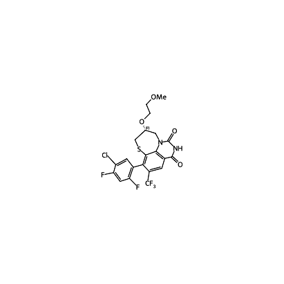 COCCO[C@H]1CSc2c(-c3cc(Cl)c(F)cc3F)c(C(F)(F)F)cc3c(=O)[nH]c(=O)n(c23)C1